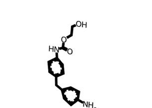 Nc1ccc(Cc2ccc(NC(=O)OCCO)cc2)cc1